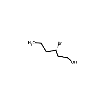 CCC[C@H](Br)CCO